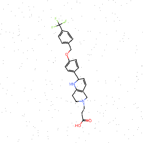 O=C(O)CCN1CCC2=C(C=CC(c3ccc(OCc4ccc(C(F)(F)F)cc4)cc3)N2)C1